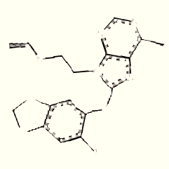 C=CNCCn1c(Sc2cc3c(cc2I)OCO3)nc2c(C)ncnc21